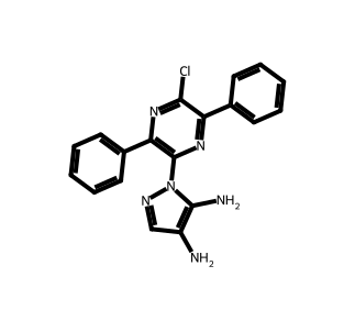 Nc1cnn(-c2nc(-c3ccccc3)c(Cl)nc2-c2ccccc2)c1N